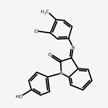 Cc1ccc(N=C2C(=O)N(c3ccc(O)cc3)c3ccccc32)cc1Cl